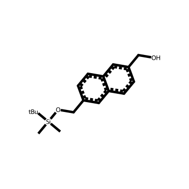 CC(C)(C)[Si](C)(C)OCc1ccc2cc(CO)ccc2c1